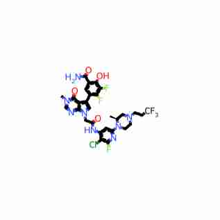 C[C@H]1CN(CCC(F)(F)F)CCN1c1cc(NC(=O)Cn2cc(-c3cc(C(N)=O)c(O)c(F)c3F)c3c(=O)n(C)cnc32)c(Cl)c(F)n1